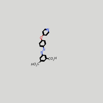 O=C(O)c1cc(N=Nc2ccc(Oc3ccncc3)cc2)cc(C(=O)O)c1